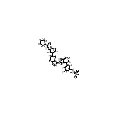 CS(=O)(=O)NCc1cc(F)cc(-c2cncc3[nH]c(-c4n[nH]c5ccc(-c6cncc(NC(=O)C7CCCCC7)c6)nc45)cc23)c1